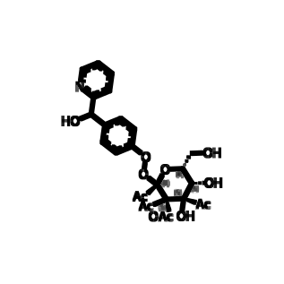 CC(=O)O[C@@]1(C(C)=O)[C@@](OOc2ccc(C(O)c3ccccn3)cc2)(C(C)=O)O[C@H](CO)[C@H](O)[C@@]1(O)C(C)=O